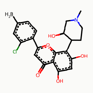 Bc1ccc(-c2cc(=O)c3c(O)cc(O)c(C4CCN(C)CC4O)c3o2)c(Cl)c1